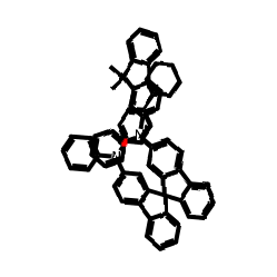 CC1(C)c2ccccc2-c2ccc(N(c3ccccc3)c3ccc4c(c3)C3(c5ccccc5-c5ccc(N(c6ccccc6)c6ccc(C7CCCCC7)cc6)cc53)c3ccccc3-4)cc21